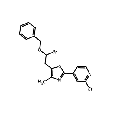 CCc1cc(-c2nc(C)c(CC(Br)OCc3ccccc3)s2)ccn1